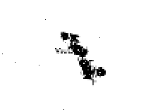 COc1cc2c(Oc3ccc(NC(=O)C4(C(=O)Nc5ccccc5)CC4)c(F)c3)ccnc2cc1OCC1(NC2CCCC2)CC1